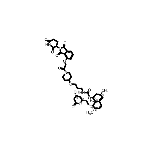 C[C@H]1C=C2C=C[C@H](C)[C@H](CC[C@@H]3C[C@@H](O)CC(=O)O3)[C@H]2[C@@H](OC(=O)NCCCOC2CCN(C(=O)COc3cccc4c3C(=O)N(C3CCC(=O)NC3=O)C4=O)CC2)C1